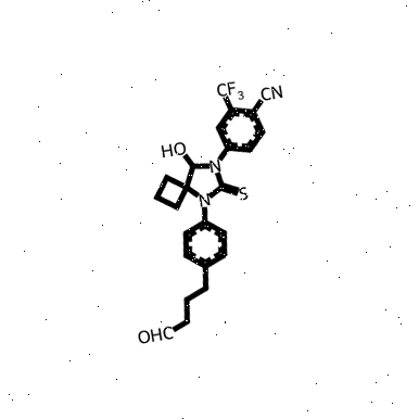 N#Cc1ccc(N2C(=S)N(c3ccc(CCCC=O)cc3)C3(CCC3)C2O)cc1C(F)(F)F